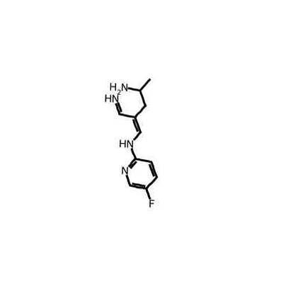 CC(N)C/C(C=N)=C/Nc1ccc(F)cn1